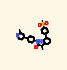 Cc1cc(-c2ccc(NC(=O)C(C)c3cccc(-c4ccc(S(C)(=O)=O)cc4)c3)cc2)ccn1